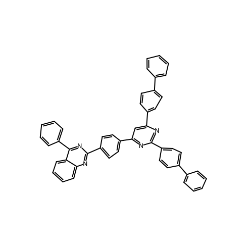 c1ccc(-c2ccc(-c3cc(-c4ccc(-c5nc(-c6ccccc6)c6ccccc6n5)cc4)nc(-c4ccc(-c5ccccc5)cc4)n3)cc2)cc1